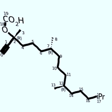 C#C[C@@](C)(CCC[C@H](C)CCC[C@H](C)CCCC(C)C)OC(=O)O